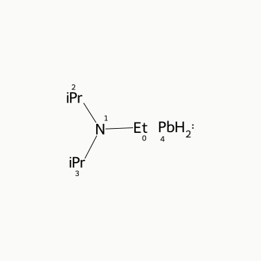 CCN(C(C)C)C(C)C.[PbH2]